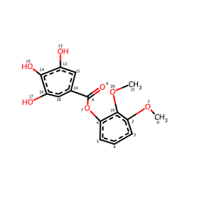 COc1cccc(OC(=O)c2cc(O)c(O)c(O)c2)c1OC